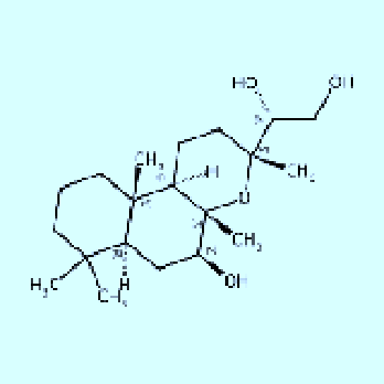 CC1(C)CCC[C@]2(C)[C@H]3CC[C@](C)([C@H](O)CO)O[C@]3(C)[C@@H](O)C[C@@H]12